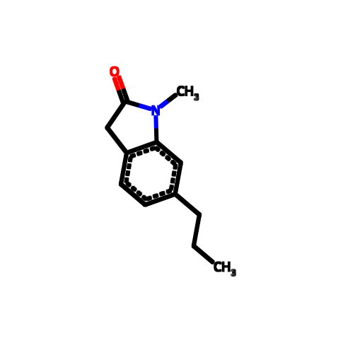 CCCc1ccc2c(c1)N(C)C(=O)C2